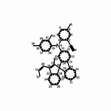 C#Cc1cc(C)ccc1N(c1ccc2c(c1)C1(C(C)=C(/C=C\C)c3ccccc31)c1ccccc1-2)c1ccc(C)cc1C